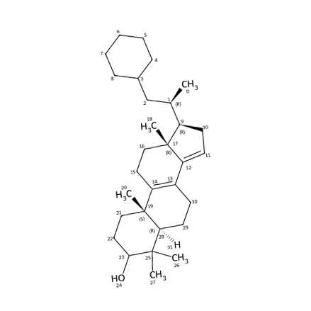 C[C@H](CC1CCCCC1)[C@H]1CC=C2C3=C(CC[C@@]21C)[C@@]1(C)CCC(O)C(C)(C)[C@@H]1CC3